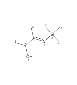 C/C(=N\[Si](C)(C)C)C(C)O